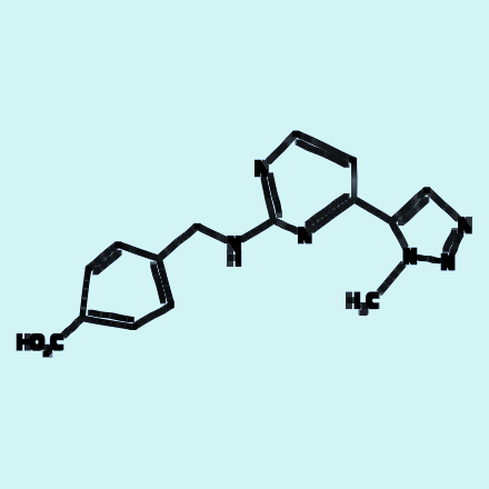 Cn1nncc1-c1ccnc(NCc2ccc(C(=O)O)cc2)n1